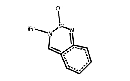 CC(C)N1C=c2ccccc2=N[S+]1[O-]